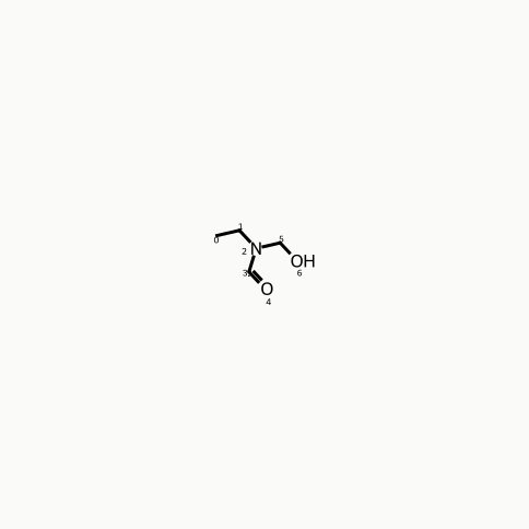 CCN([C]=O)CO